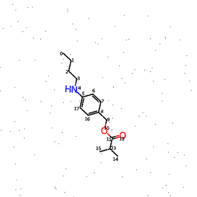 CCCCNc1ccc(COC(=O)C(C)C)cc1